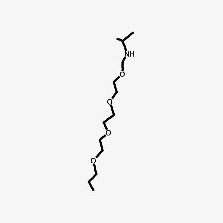 CCCOCCOCCOCCOCNC(C)C